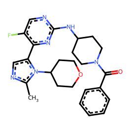 Cc1ncc(-c2nc(NC3CCN(C(=O)c4ccccc4)CC3)ncc2F)n1C1CCOCC1